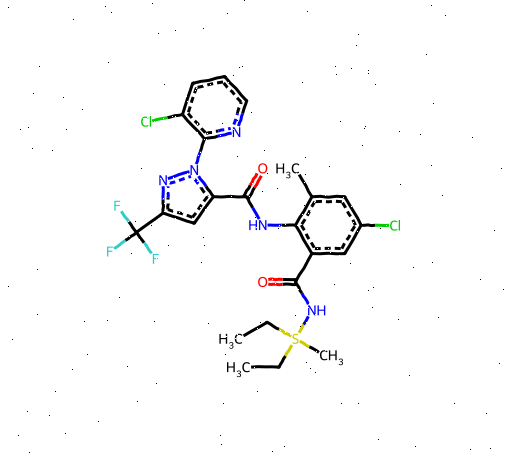 CCS(C)(CC)NC(=O)c1cc(Cl)cc(C)c1NC(=O)c1cc(C(F)(F)F)nn1-c1ncccc1Cl